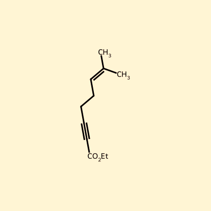 CCOC(=O)C#CCCC=C(C)C